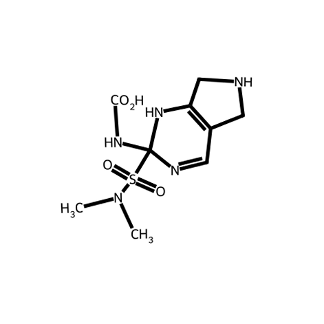 CN(C)S(=O)(=O)C1(NC(=O)O)N=CC2=C(CNC2)N1